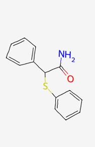 NC(=O)C(Sc1ccccc1)c1ccccc1